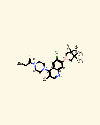 C=C(CC(C)(C)C)N1CCN(c2c(CC)cnc3cc(B4CC(C)(C)C(C)(C)C4)c(Cl)cc23)CC1